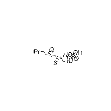 CC(C)CC[S+]([O-])CC[S+]([O-])CCC(C)(C)OP(=O)(O)O